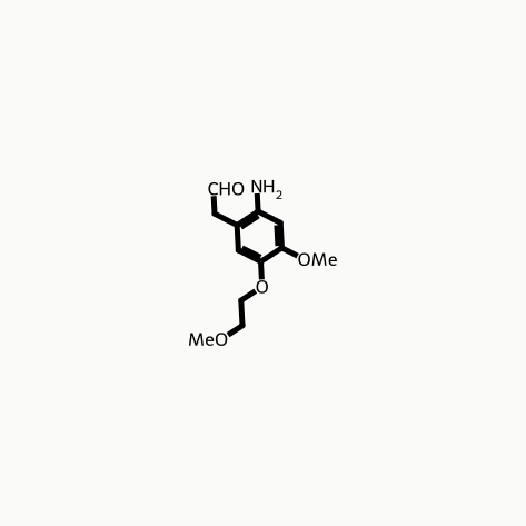 COCCOc1cc(CC=O)c(N)cc1OC